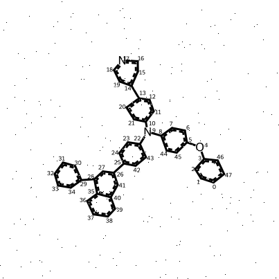 c1ccc(Oc2ccc(N(c3ccc(-c4ccncc4)cc3)c3ccc(-c4cc(-c5ccccc5)c5ccccc5c4)cc3)cc2)cc1